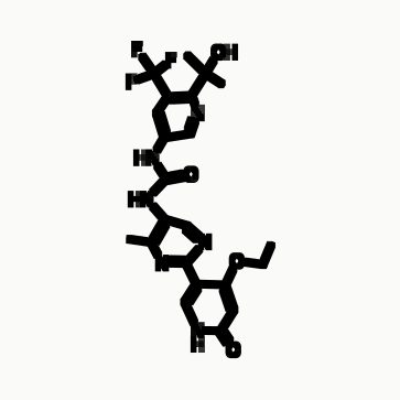 CCOc1cc(=O)[nH]cc1-c1ncc(NC(=O)Nc2cnc(C(C)(C)O)c(C(F)(F)F)c2)c(C)n1